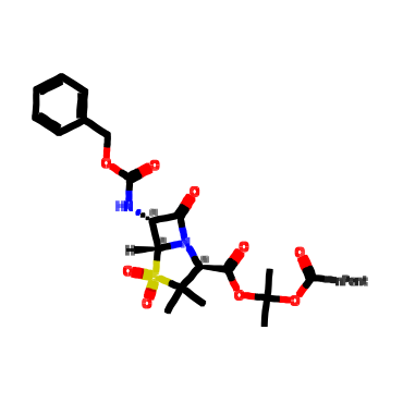 CCCCCC(=O)OC(C)(C)OC(=O)[C@@H]1N2C(=O)[C@@H](NC(=O)OCc3ccccc3)[C@H]2S(=O)(=O)C1(C)C